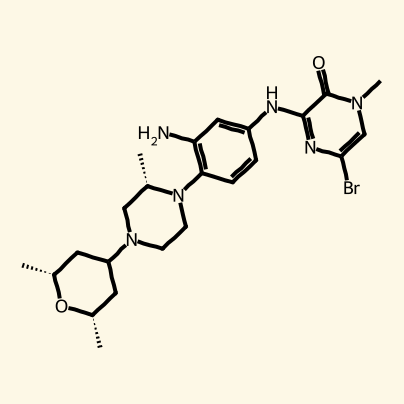 C[C@@H]1CC(N2CCN(c3ccc(Nc4nc(Br)cn(C)c4=O)cc3N)[C@@H](C)C2)C[C@H](C)O1